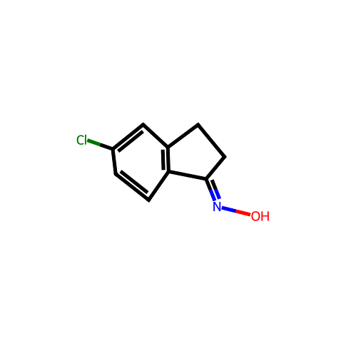 ON=C1CCc2cc(Cl)ccc21